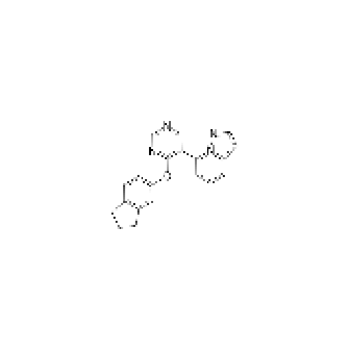 c1cc(-c2cncnc2Oc2ccc3c(c2)CCC3)n2nccc2c1